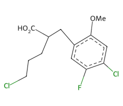 COc1cc(Cl)c(F)cc1CC(CCCCl)C(=O)O